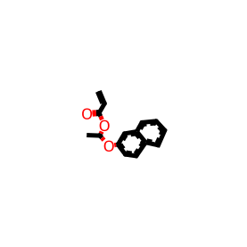 C=CC(=O)OC(C)Oc1ccc2ccccc2c1